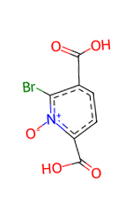 O=C(O)c1ccc(C(=O)O)[n+]([O-])c1Br